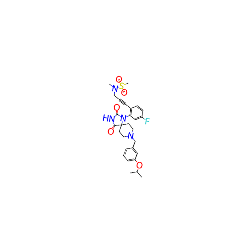 CC(C)Oc1cccc(CN2CCC3(CC2)C(=O)NC(=O)N3c2cc(F)ccc2C#CCN(C)S(C)(=O)=O)c1